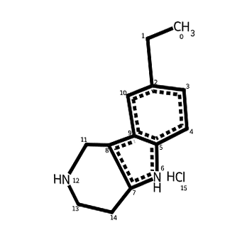 CCc1ccc2[nH]c3c(c2c1)CNCC3.Cl